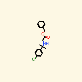 CC(C)(NCC(=O)OCc1ccccc1)c1ccc(Cl)cc1